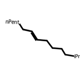 CCCCCC/C=C/CCCC[C](C)C